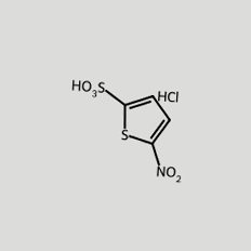 Cl.O=[N+]([O-])c1ccc(S(=O)(=O)O)s1